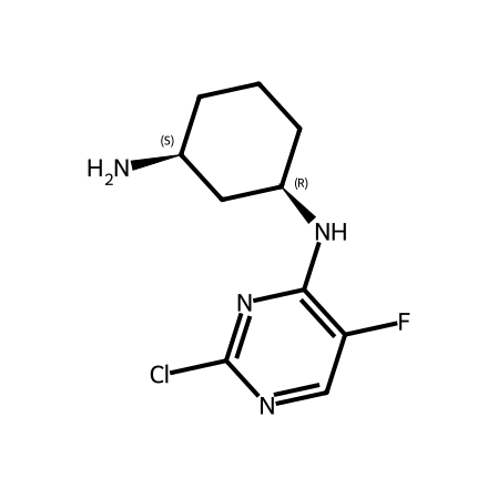 N[C@H]1CCC[C@@H](Nc2nc(Cl)ncc2F)C1